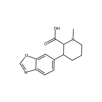 CN1CCCC(c2ccc3ncoc3c2)C1C(=O)O